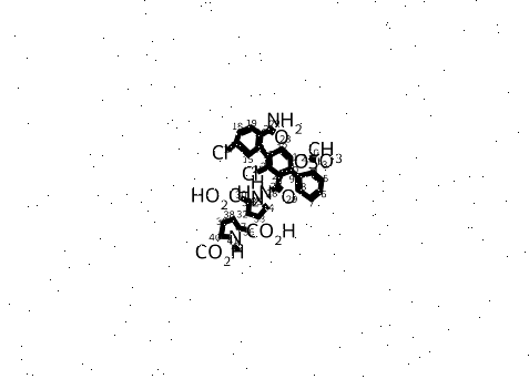 CS(=O)(=O)c1ccccc1-c1ccc(-c2cc(Cl)ccc2C(N)=O)c(Cl)c1C(N)=O.O=C(O)C1CCCN1.O=C(O)C1CCCN1C(=O)O